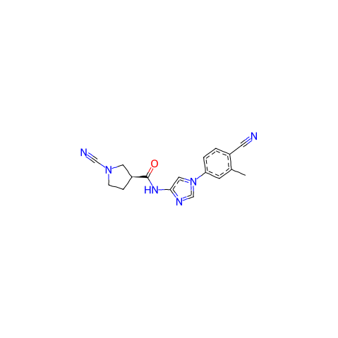 Cc1cc(-n2cnc(NC(=O)[C@H]3CCN(C#N)C3)c2)ccc1C#N